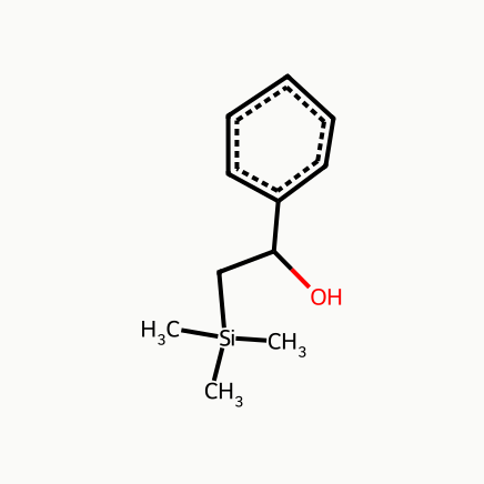 C[Si](C)(C)CC(O)c1ccccc1